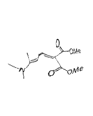 COC(=O)C(=C/C=C(\C)N(C)C)C(=O)OC